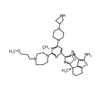 COCCCN1CCCN(c2nc(-c3noc([C@@]4(C)CCCc5sc(N)c(C#N)c54)n3)cc(N3CCN(C4CNC4)CC3)n2)[C@@H](C)C1